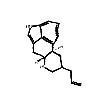 C=CCC1CN[C@@H]2Cc3c[nH]c4cccc(c34)[C@H]2C1